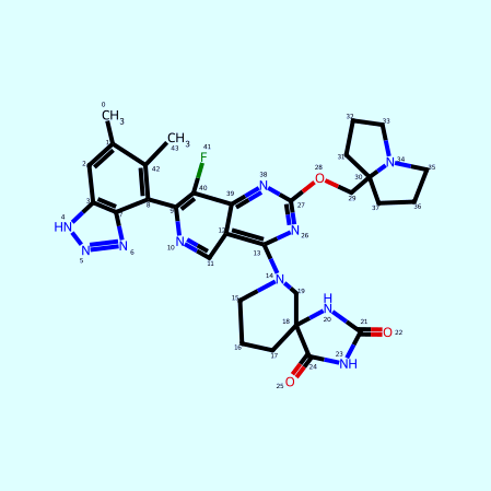 Cc1cc2[nH]nnc2c(-c2ncc3c(N4CCCC5(C4)NC(=O)NC5=O)nc(OCC45CCCN4CCC5)nc3c2F)c1C